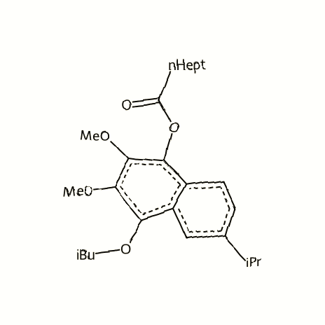 CCCCCCCC(=O)Oc1c(OC)c(OC)c(OC(C)CC)c2cc(C(C)C)ccc12